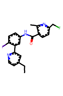 CCc1ccnc(-c2cc(NC(=O)c3ccc(CF)nc3C)ccc2I)c1